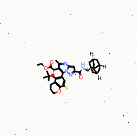 CCOC(=O)[C@@H](OC(C)(C)C)c1c(C)nc2cc(C(=O)NC[C@]34C[C@@H]5C[C@H](C3)C(O)[C@@H](C5)C4)nn2c1-c1cc(F)c2c(c1C)CCCO2